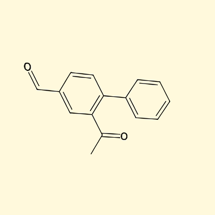 CC(=O)c1cc(C=O)ccc1-c1ccccc1